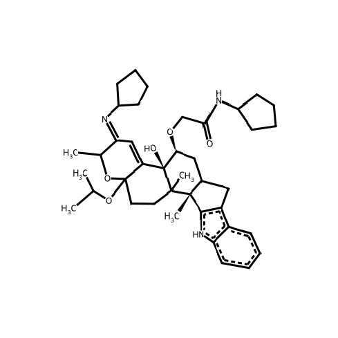 CC(C)OC12CCC3(C)[C@@]4(C)c5[nH]c6ccccc6c5CC4C[C@H](OCC(=O)NC4CCCC4)[C@@]3(O)C1=C/C(=N\C1CCCC1)C(C)O2